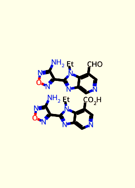 CCn1c(-c2nonc2N)nc2cncc(C(=O)O)c21.CCn1c(-c2nonc2N)nc2cncc(C=O)c21